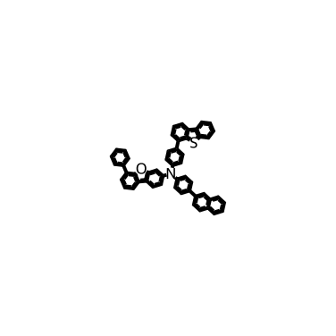 c1ccc(-c2cccc3c2oc2cc(N(c4ccc(-c5ccc6ccccc6c5)cc4)c4ccc(-c5cccc6c5sc5ccccc56)cc4)ccc23)cc1